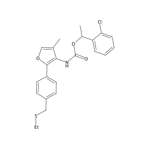 CCSCc1ccc(-c2occ(C)c2NC(=O)OC(C)c2ccccc2Cl)cc1